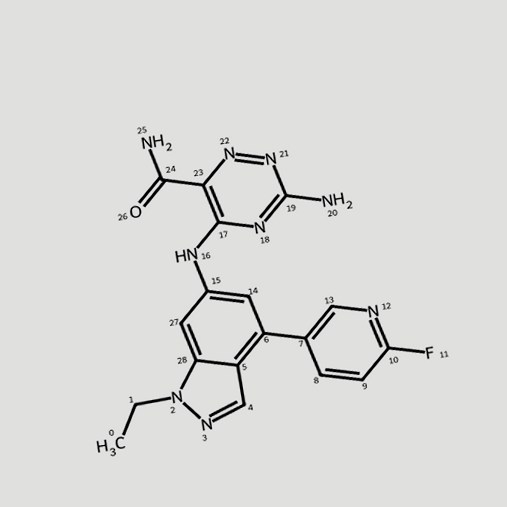 CCn1ncc2c(-c3ccc(F)nc3)cc(Nc3nc(N)nnc3C(N)=O)cc21